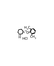 Cc1cccc(C)c1OC[C@H]1CCCNC1.Cl